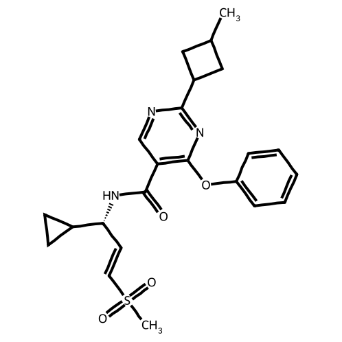 CC1CC(c2ncc(C(=O)N[C@H](/C=C/S(C)(=O)=O)C3CC3)c(Oc3ccccc3)n2)C1